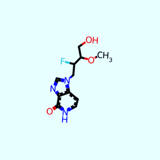 COC(CO)C(F)Cn1cnc2c(=O)[nH]ccc21